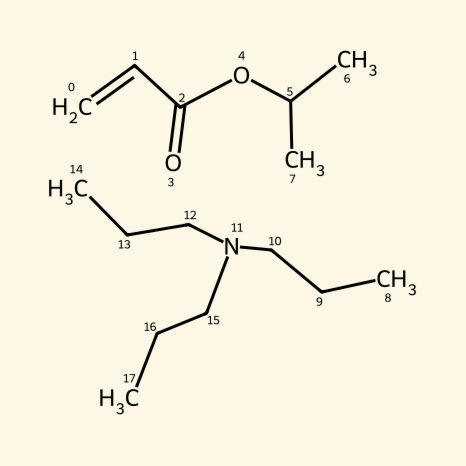 C=CC(=O)OC(C)C.CCCN(CCC)CCC